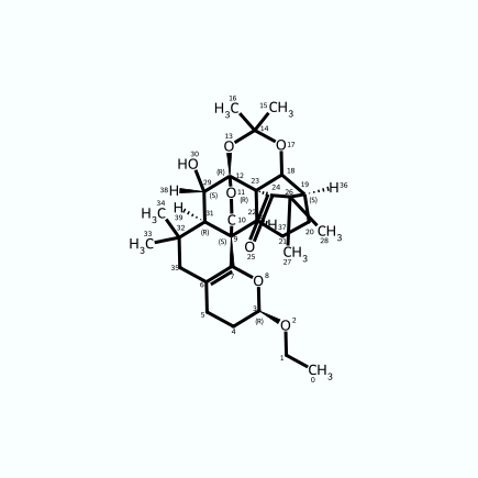 CCO[C@H]1CCC2=C(O1)[C@@]13CO[C@]4(OC(C)(C)OC5[C@H]6CC[C@@H]1[C@]54C(=O)C6(C)C)[C@@H](O)[C@@H]3C(C)(C)C2